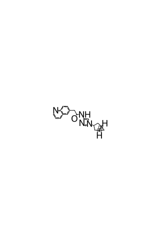 O=C(Cc1ccc2ncccc2c1)Nc1cn(C2C[C@@H]3C[C@@H]3C2)cn1